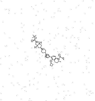 C[C@H]1CCc2c(ccc(-c3cnn(C4CCN(C5C[C@@H]6CN(C(=O)OC(C)(C)C)C[C@@H]6C5)CC4)c3)c2OC2CCC2)N1C(=O)C1CC1